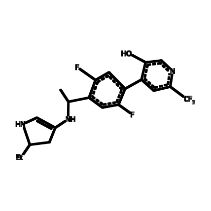 CCC1CC(NC(C)c2cc(F)c(-c3cc(C(F)(F)F)ncc3O)cc2F)=CN1